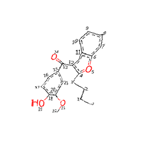 CCCCc1oc2ccccc2c1C(=O)c1ccc(O)c(OC)c1